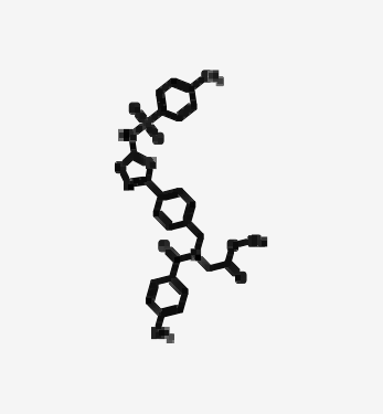 Cc1ccc(S(=O)(=O)Nc2nc(-c3ccc(CN(CC(=O)OC(C)(C)C)C(=O)c4ccc(N)cc4)cc3)no2)cc1